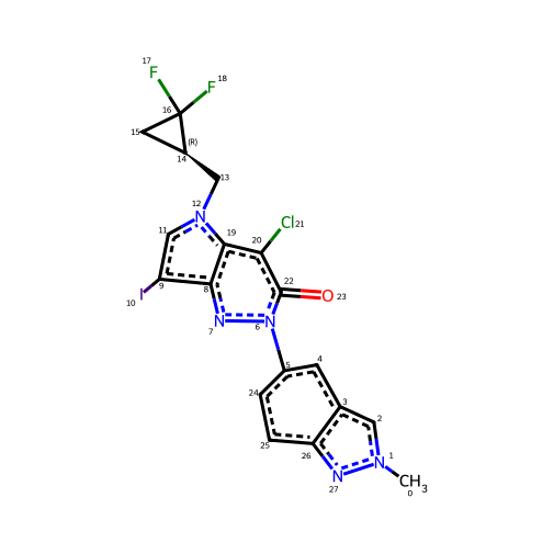 Cn1cc2cc(-n3nc4c(I)cn(C[C@H]5CC5(F)F)c4c(Cl)c3=O)ccc2n1